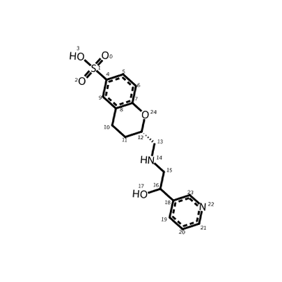 O=S(=O)(O)c1ccc2c(c1)CC[C@@H](CNCC(O)c1cccnc1)O2